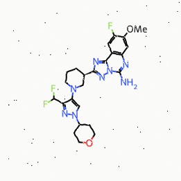 COc1cc2nc(N)n3nc([C@@H]4CCCN(c5cn(C6CCOCC6)nc5C(F)F)C4)nc3c2cc1F